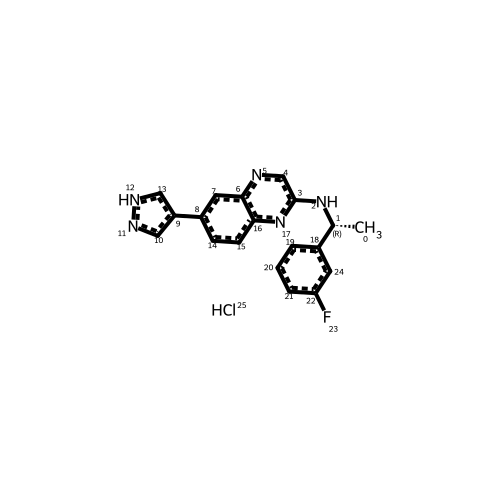 C[C@@H](Nc1cnc2cc(-c3cn[nH]c3)ccc2n1)c1cccc(F)c1.Cl